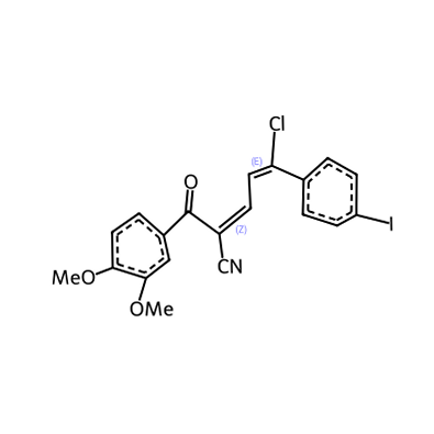 COc1ccc(C(=O)/C(C#N)=C\C=C(\Cl)c2ccc(I)cc2)cc1OC